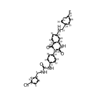 O=C(NCc1ccc(Cl)s1)Nc1ccc(-n2c(=O)[nH]c3cc(NCc4ccc(F)cc4)ccc3c2=O)cc1